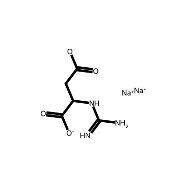 N=C(N)NC(CC(=O)[O-])C(=O)[O-].[Na+].[Na+]